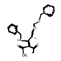 CC(=O)/C(C(=O)O)=C(/NCc1ccccc1)[C@@H](C)COCOCc1ccccc1